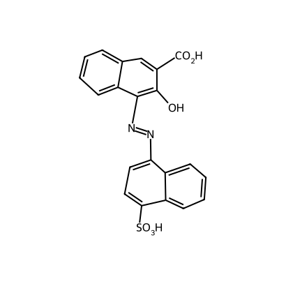 O=C(O)c1cc2ccccc2c(/N=N/c2ccc(S(=O)(=O)O)c3ccccc23)c1O